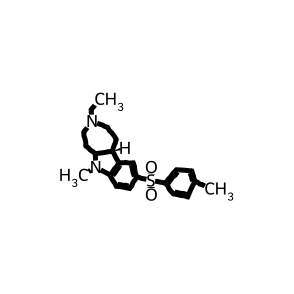 CCN1CCC2[C@@H](CC1)c1cc(S(=O)(=O)c3ccc(C)cc3)ccc1N2C